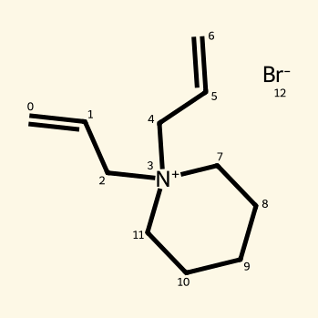 C=CC[N+]1(CC=C)CCCCC1.[Br-]